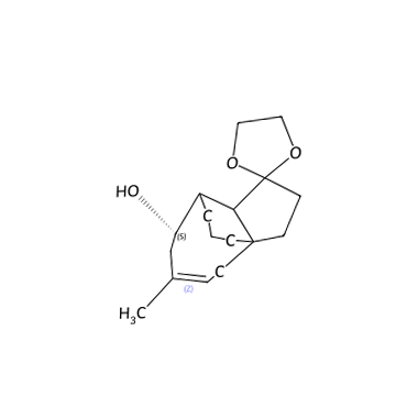 C/C1=C/CC23CCCC(C2C2(CC3)OCCO2)[C@@H](O)C1